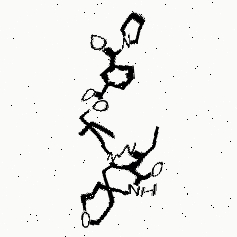 CCc1nn(CC(C)(C)COC(=O)c2cccc(C(=O)N3CCCC3)c2)c2c1C(=O)NCC1(CCOCC1)C2